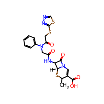 CC1S[C@@H]2C(NC(=O)CN(C(=O)CSc3nncs3)c3ccccc3)C(=O)N2C=C1C(=O)O